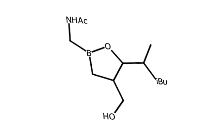 CCC(C)C(C)C1OB(CNC(C)=O)CC1CO